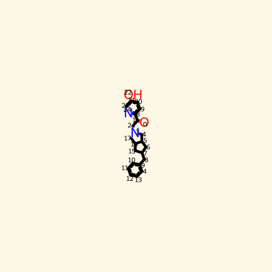 O=C(CN1CC2CC(Cc3ccccc3)CC2C1)c1ccc(O)cn1